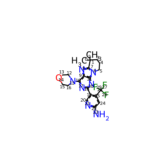 CC1(C)CCCn2c1nc1c(N3CCOCC3)nc(-c3cnc(N)cc3C(F)(F)F)nc12